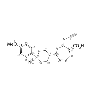 C#CCC1CN(C2CCC(C#N)(c3ccc(OC)cn3)CC2)CCCN1C(=O)O